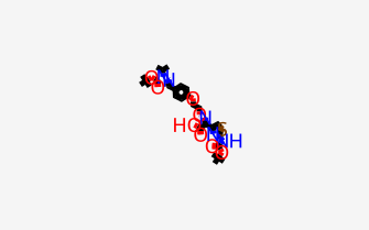 CC(C)N(/N=C/c1ccc(OCCO/N=C(\C(=O)O)c2csc(NC(=O)OC(C)(C)C)n2)cc1)C(=O)OC(C)(C)C